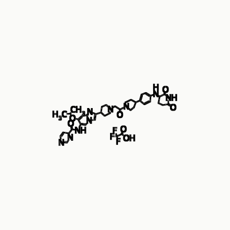 CC(C)Oc1cc2nc(C3CCN(CC(=O)N4CCC(c5ccc(NC6CCC(=O)NC6=O)cc5)CC4)CC3)cn2cc1NC(=O)c1ccncn1.O=C(O)C(F)(F)F